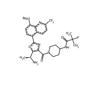 COc1ccc(-c2nc(C(=O)N3CCC(NC(=O)C(C)(C)F)CC3)c([C@H](C)N)o2)c2ccc(C(F)(F)F)nc12